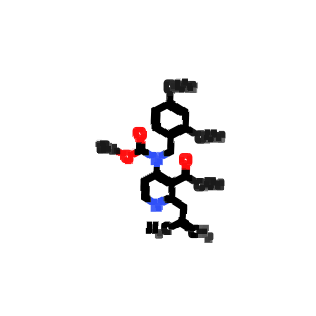 C=C(C)Cc1nccc(N(Cc2ccc(OC)cc2OC)C(=O)OC(C)(C)C)c1C(=O)OC